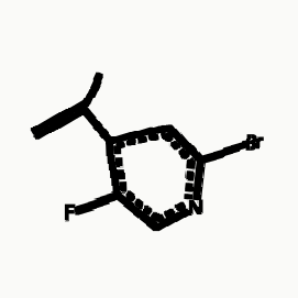 C=C(C)c1cc(Br)ncc1F